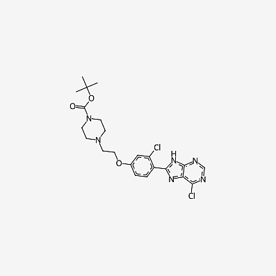 CC(C)(C)OC(=O)N1CCN(CCOc2ccc(-c3nc4c(Cl)ncnc4[nH]3)c(Cl)c2)CC1